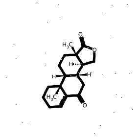 C[C@]12CCCC=C1C(=O)C[C@@H]1[C@H]2CC[C@]2(C)C(=O)OC[C@@H]12